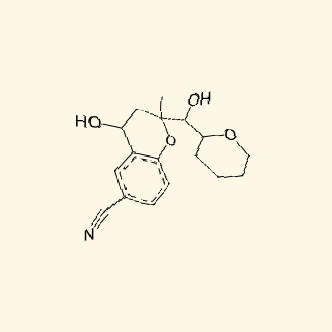 CC1(C(O)C2CCCCO2)CC(O)c2cc(C#N)ccc2O1